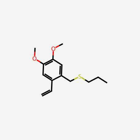 C=Cc1cc(OC)c(OC)cc1CSCCC